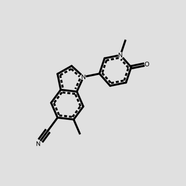 Cc1cc2c(ccn2-c2ccc(=O)n(C)c2)cc1C#N